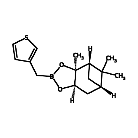 CC1(C)[C@@H]2C[C@H]3OB(Cc4ccsc4)O[C@@]3(C)[C@H]1C2